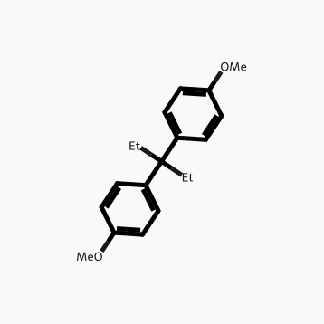 CCC(CC)(c1ccc(OC)cc1)c1ccc(OC)cc1